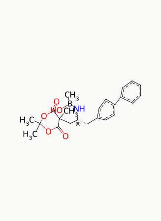 CB(O)N[C@H](Cc1ccc(-c2ccccc2)cc1)CC1(C)C(=O)OC(C)(C)OC1=O